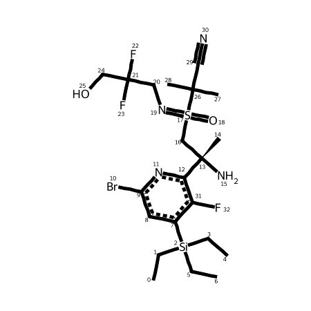 CC[Si](CC)(CC)c1cc(Br)nc([C@@](C)(N)CS(=O)(=NCC(F)(F)CO)C(C)(C)C#N)c1F